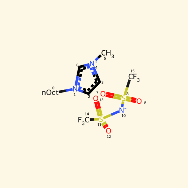 CCCCCCCCn1cc[n+](C)c1.O=S(=O)([N-]S(=O)(=O)C(F)(F)F)C(F)(F)F